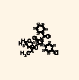 CC[Si](CC)(CC)O[C@@H]1C(=O)N(C(=O)c2ccccc2)[C@@H]1c1ccc(Cl)cc1